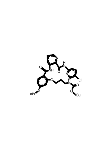 CCCSc1ccc(C(=O)Nc2cccnc2C(=O)Nc2ccc(Cl)cn2)c(OCCCNC(=O)OC(C)(C)C)c1